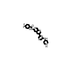 O=C(Nc1cc2cc(-c3cncc(NC4CCNCC4)n3)cnc2cn1)C1CCC(F)(F)CC1